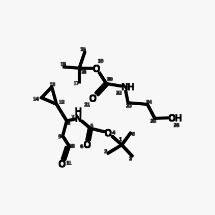 CC(C)(C)OC(=O)NC(CC=O)C1CC1.CC(C)(C)OC(=O)NCCCO